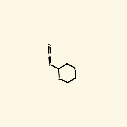 O=C=NC1CNCCS1